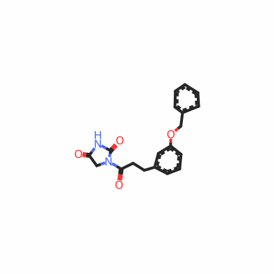 O=C1CN(C(=O)CCc2cccc(OCc3ccccc3)c2)C(=O)N1